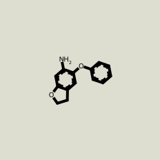 Nc1cc2c(cc1Oc1ccccc1)CCO2